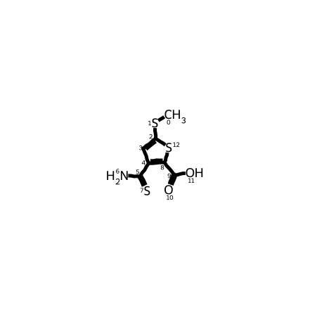 CSc1cc(C(N)=S)c(C(=O)O)s1